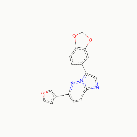 c1cc(-c2ccc3ncc(-c4ccc5c(c4)OCO5)n3n2)co1